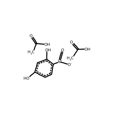 CC(=O)O.CC(=O)O.O=[N+]([O-])c1ccc(O)cc1O